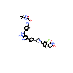 Cc1cc(-c2n[nH]c3ncc(-c4ccc(C5CCN(CCc6cc(C)c([C@H]7CCC(=O)NC7=O)c(F)c6)CC5)cc4)cc23)ccc1CNC(=O)c1nc(C(C)(C)C)no1